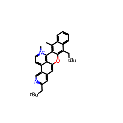 Cc1c2c(c(CC(C)(C)C)c3ccccc13)Oc1cc3cc(CC(C)(C)C)ncc3c3cc[n+](C)c-2c13